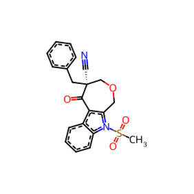 CS(=O)(=O)n1c2c(c3ccccc31)C(=O)[C@@](C#N)(Cc1ccccc1)COC2